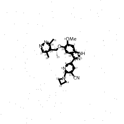 COc1cc2[nH]nc(-c3cnc(N4CCC4)c(C#N)c3)c2cc1O[C@H](C)c1c(C)cnnc1C